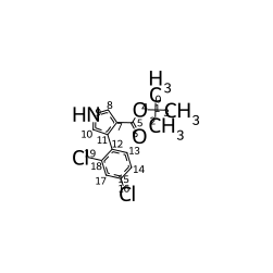 CC(C)(C)OC(=O)c1c[nH]cc1-c1ccc(Cl)cc1Cl